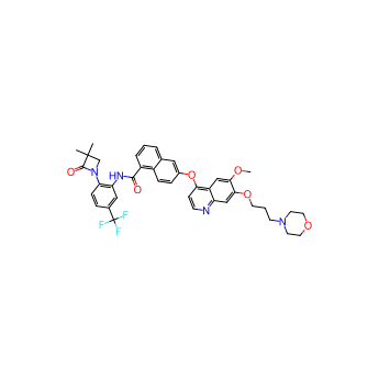 COc1cc2c(Oc3ccc4c(C(=O)Nc5cc(C(F)(F)F)ccc5N5CC(C)(C)C5=O)cccc4c3)ccnc2cc1OCCCN1CCOCC1